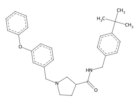 CC(C)(C)c1ccc(CNC(=O)C2CCN(Cc3cccc(Oc4ccccc4)c3)C2)cc1